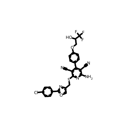 N#Cc1c(N)nc(SCc2coc(-c3ccc(Cl)cc3)n2)c(C#N)c1-c1ccc(OCC(O)C(F)(F)F)cc1